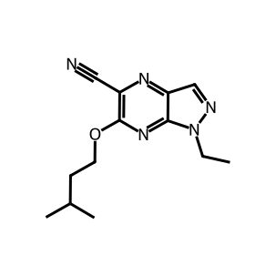 CCn1ncc2nc(C#N)c(OCCC(C)C)nc21